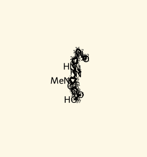 CNc1cc(-c2ncnc(Nc3ccc([C@H]4CCCN4C4COC4)cc3)n2)ccc1O[C@H]1CCN(C(=O)[C@H](C)O)C[C@H]1F